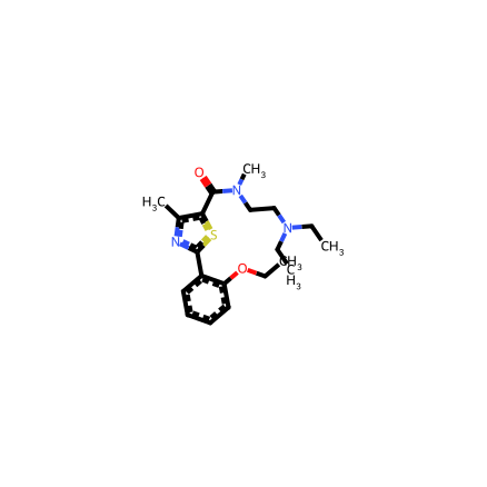 CCOc1ccccc1-c1nc(C)c(C(=O)N(C)CCN(CC)CC)s1